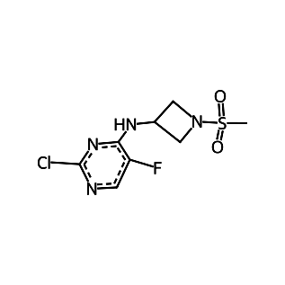 CS(=O)(=O)N1CC(Nc2nc(Cl)ncc2F)C1